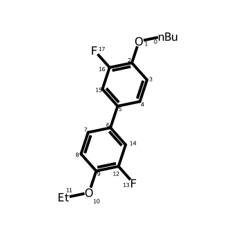 CCCCOc1ccc(-c2ccc(OCC)c(F)c2)cc1F